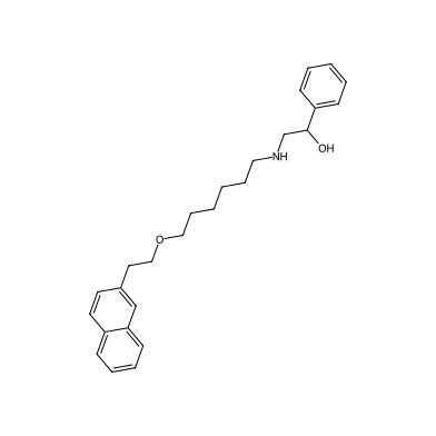 OC(CNCCCCCCOCCc1ccc2ccccc2c1)c1ccccc1